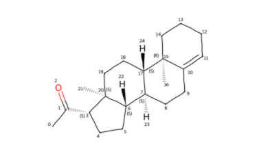 CC(=O)[C@H]1CC[C@H]2[C@@H]3CCC4=CCCC[C@]4(C)[C@H]3CC[C@]12C